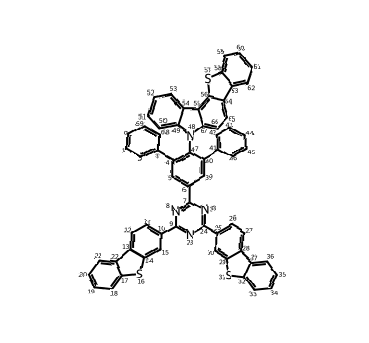 c1ccc(-c2cc(-c3nc(-c4ccc5c(c4)sc4ccccc45)nc(-c4ccc5c(c4)sc4ccccc45)n3)cc(-c3ccccc3)c2-n2c3ccccc3c3c4sc5ccccc5c4ccc32)cc1